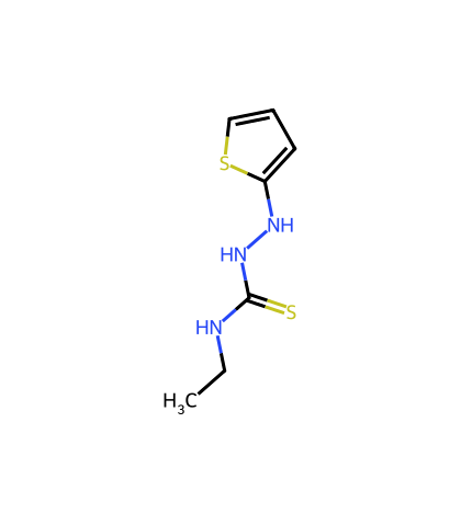 CCNC(=S)NNc1cccs1